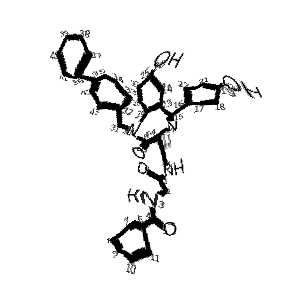 O=C(CNC(=O)c1ccccc1)NC1N=C(c2ccc(O)cc2)c2cc(O)ccc2N(Cc2ccc(-c3ccccc3)cc2)C1=O